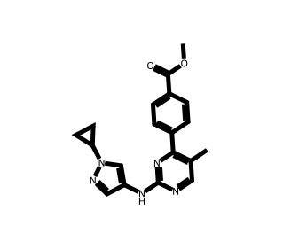 COC(=O)c1ccc(-c2nc(Nc3cnn(C4CC4)c3)ncc2C)cc1